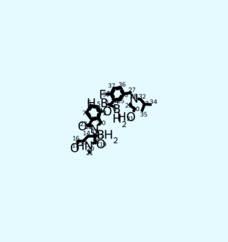 BC(B)(Oc1cccc2c1CN(C(B)(CCC=O)C(=O)NC)C2=O)c1cc(CN(CCO)CC(C)C)ccc1F